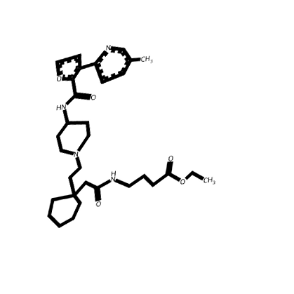 CCOC(=O)CCCNC(=O)CC1(CCN2CCC(NC(=O)c3occc3-c3ccc(C)cn3)CC2)CCCCC1